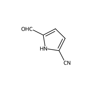 N#Cc1ccc(C=O)[nH]1